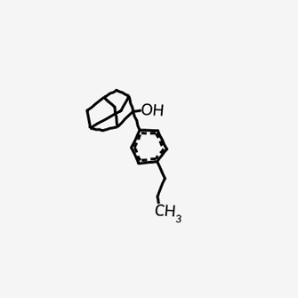 CCCc1ccc(C2(O)C3CC4CC(C3)CC2C4)cc1